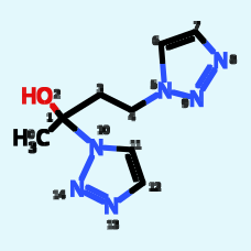 CC(O)(CCn1ccnn1)n1ccnn1